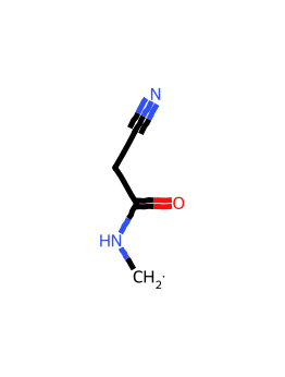 [CH2]NC(=O)CC#N